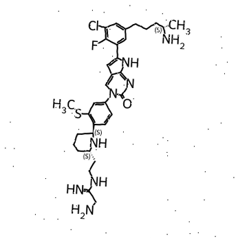 CSc1cc(-n2cc3cc(-c4cc(CCC[C@H](C)N)cc(Cl)c4F)[nH]c3nc2=O)ccc1[C@@H]1CCC[C@@H](CCNC(=N)CN)N1